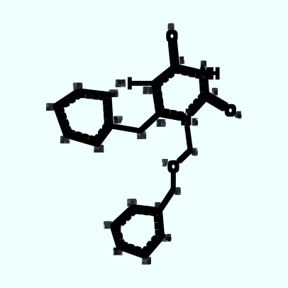 O=c1[nH]c(=O)n(COCc2ccccc2)c(Cc2ccccc2)c1I